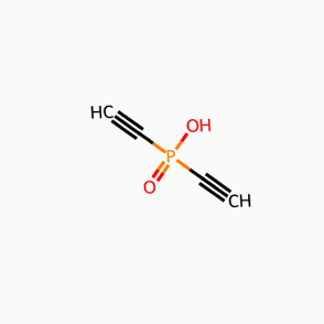 C#CP(=O)(O)C#C